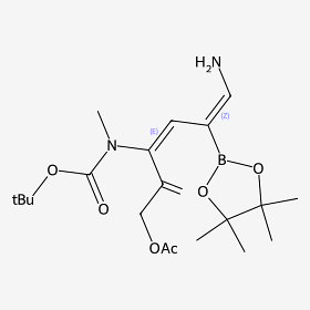 C=C(COC(C)=O)/C(=C\C(=C/N)B1OC(C)(C)C(C)(C)O1)N(C)C(=O)OC(C)(C)C